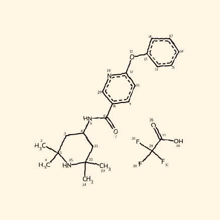 CC1(C)CC(NC(=O)c2ccc(Oc3ccccc3)nc2)CC(C)(C)N1.O=C(O)C(F)(F)F